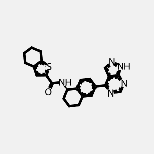 O=C(N[C@@H]1CCCc2cc(-c3ncnc4[nH]ncc34)ccc21)c1cc2c(s1)CCCC2